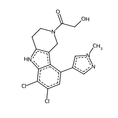 Cn1cc(-c2cc(Cl)c(Cl)c3[nH]c4c(c23)CN(C(=O)CO)CC4)cn1